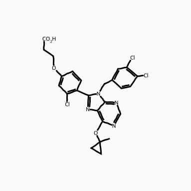 CC1(Oc2ncnc3c2nc(-c2ccc(OCCC(=O)O)cc2Cl)n3Cc2ccc(Cl)c(Cl)c2)CC1